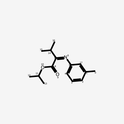 Cc1cccc(/N=C(\C(=O)OC(C)C)C(C)C)c1